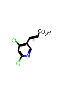 O=C(O)/C=C/c1cnc(Cl)cc1Cl